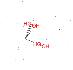 C=C.C=C.C=C.C=C.C=C.C=C.C=CC.C=CC.C=CC.C=CC.C=CC.C=CC.OCCO.OCCO